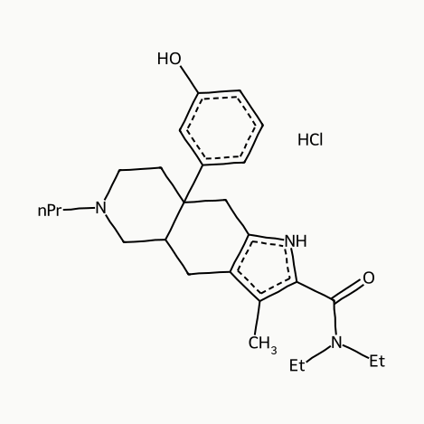 CCCN1CCC2(c3cccc(O)c3)Cc3[nH]c(C(=O)N(CC)CC)c(C)c3CC2C1.Cl